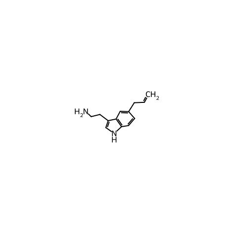 C=CCc1ccc2[nH]cc(CCN)c2c1